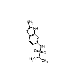 CC(C)S(=O)(=O)Nc1ccc2nc(N)[nH]c2c1